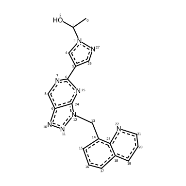 CC(O)n1cc(-c2ncc3nnn(Cc4cccc5cccnc45)c3n2)cn1